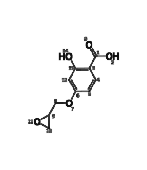 O=C(O)c1ccc(OCC2CO2)cc1O